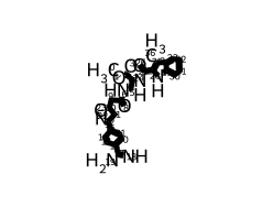 COC(=O)C(CNC(=O)CC1CC(c2ccc(C(=N)N)cc2)=NO1)NC(=O)c1[nH]c2ccccc2c1C